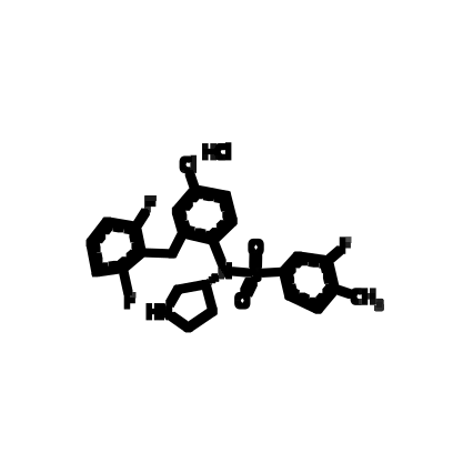 Cc1ccc(S(=O)(=O)N(c2ccc(Cl)cc2Cc2c(F)cccc2F)[C@@H]2CCNC2)cc1F.Cl